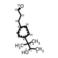 CC(O)C(C)(C)c1ccc(CCC=O)cc1